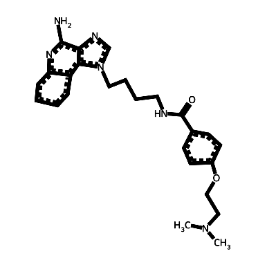 CN(C)CCOc1ccc(C(=O)NCCCCn2cnc3c(N)nc4ccccc4c32)cc1